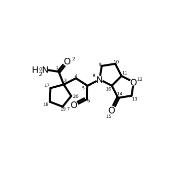 NC(=O)C1(C[C](C=O)N2CCC3OCC(=O)C32)CCCC1